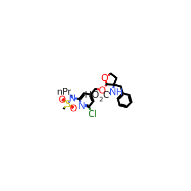 CCCN(c1cc(COC2OCCC2(Cc2ccccc2)NC(=O)O)cc(Cl)n1)S(C)(=O)=O